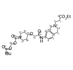 CCOC(=O)CCN1CCc2ccc(NC(=O)COC3CCN(C(=O)OCOC(=O)C(C)(C)C)CC3)cc2C1